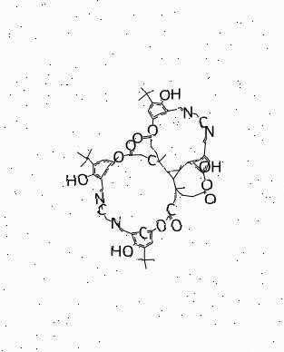 CC(C)(C)c1cc2cc(c1O)/C=N/CC/N=C/c1cc(cc(C(C)(C)C)c1O)OC(=O)CCC1(C)CCC(=O)Oc3cc4c(O)c(c3)C3(C)C(C13)C(C)(CCC(=O)O2)CCC(=O)Oc1cc(c(O)c(C(C)(C)C)c1)/C=N/CC/N=C/4